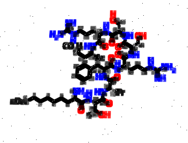 CCCCCCCCCCCCCCCCC(N)C(=O)N[C@H](C(=O)N[C@H](C(=O)N[C@@H](Cc1ccccc1)C(=O)N[C@@H](CCCNC(=N)N)C(=O)N[C@@H](CO)C(=O)N[C@@H](CO)C(=O)N[C@@H](CCCNC(=N)N)C(=O)N[C@@H](CCC(=O)O)C(C)=O)C(C)C)[C@@H](C)O